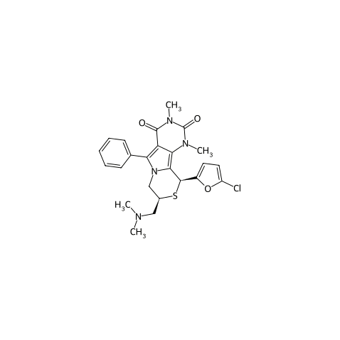 CN(C)C[C@H]1Cn2c(-c3ccccc3)c3c(=O)n(C)c(=O)n(C)c3c2[C@@H](c2ccc(Cl)o2)S1